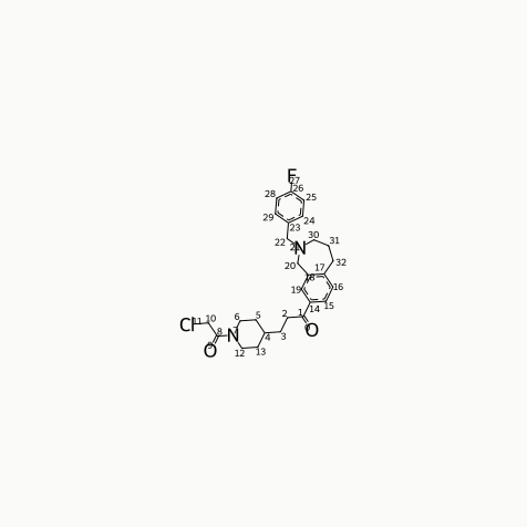 O=C(CCC1CCN(C(=O)CCl)CC1)c1ccc2c(c1)CN(Cc1ccc(F)cc1)CCC2